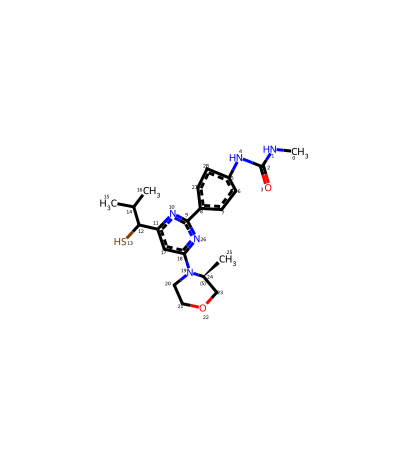 CNC(=O)Nc1ccc(-c2nc(C(S)C(C)C)cc(N3CCOC[C@@H]3C)n2)cc1